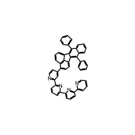 c1ccc(-c2c3c(c(-c4ccccc4)c4ccccc24)-c2ccc(-c4ccnc(-c5cccc(-c6cccc(-c7ccccn7)n6)n5)c4)c4cccc-3c24)cc1